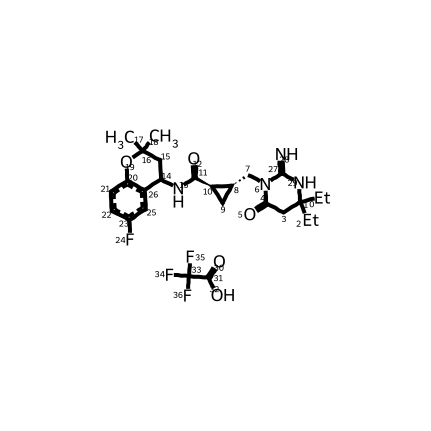 CCC1(CC)CC(=O)N(C[C@@H]2C[C@H]2C(=O)NC2CC(C)(C)Oc3ccc(F)cc32)C(=N)N1.O=C(O)C(F)(F)F